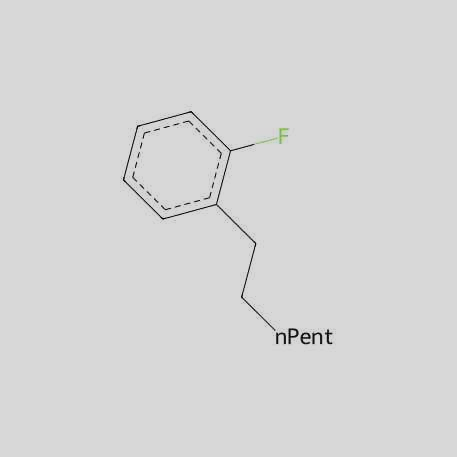 CCCCCCCc1ccccc1F